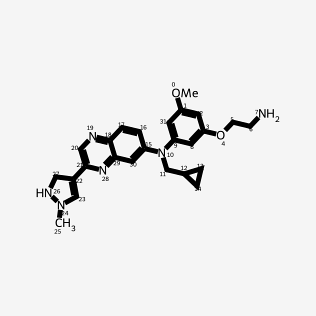 COc1cc(OCCN)cc(N(CC2CC2)c2ccc3ncc(C4=CN(C)NC4)nc3c2)c1